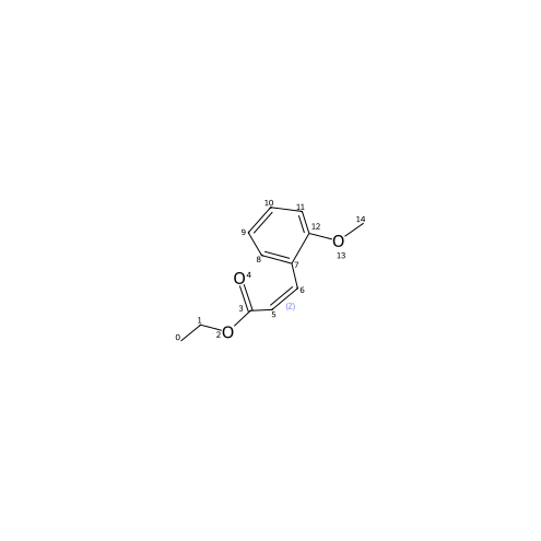 CCOC(=O)/C=C\c1ccccc1OC